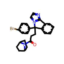 O=C(CCC1(c2ccc(Br)cc2)c2ccccc2-c2nccn21)N1C2CCC1CC2